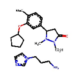 COc1ccc(C2CC(=O)N(C(=O)O)N2C)cc1OC1CCCC1.NCCCn1ccnc1